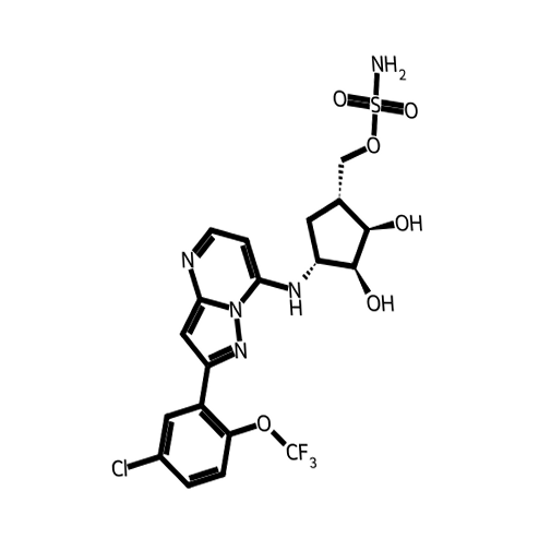 NS(=O)(=O)OC[C@H]1C[C@@H](Nc2ccnc3cc(-c4cc(Cl)ccc4OC(F)(F)F)nn23)[C@H](O)[C@@H]1O